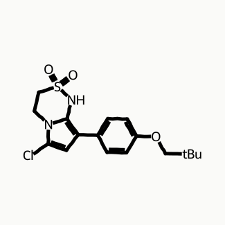 CC(C)(C)COc1ccc(-c2cc(Cl)n3c2NS(=O)(=O)CC3)cc1